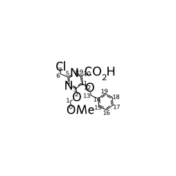 COCOc1nc(CCl)nc(C(=O)O)c1OCc1ccccc1